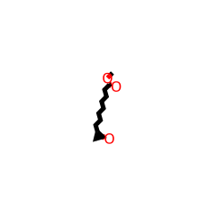 COC(=O)CCCCCCCc1cc1=O